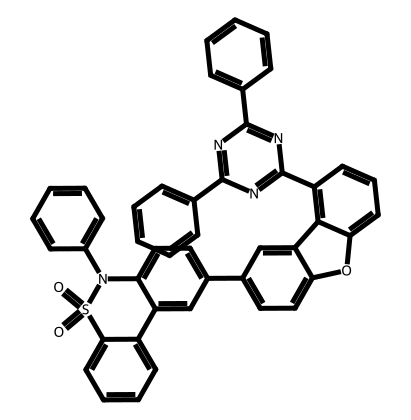 O=S1(=O)c2ccccc2-c2cc(-c3ccc4oc5cccc(-c6nc(-c7ccccc7)nc(-c7ccccc7)n6)c5c4c3)ccc2N1c1ccccc1